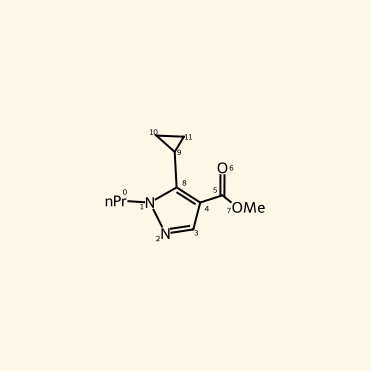 CCCn1ncc(C(=O)OC)c1C1CC1